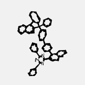 c1ccc(-c2nc(-c3ccccc3)nc(-c3ccc4ccccc4c3-c3ccc(-c4ccc(C5(c6ccccc6)c6ccccc6-c6c5ccc5ccccc65)cc4)cc3)n2)cc1